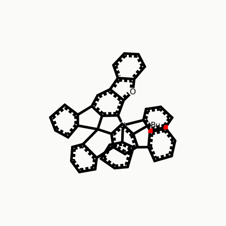 CC(C)(C)c1ccc2c(c1)C1(c3ccccc3-2)c2ccccc2-c2cc3c(oc4ccccc43)c(N(c3ccccc3)c3ccccc3-c3ccccc3)c21